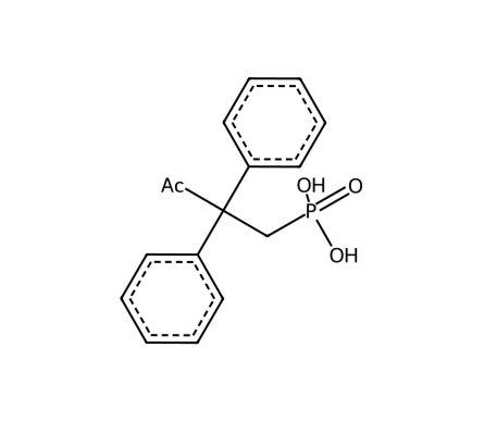 CC(=O)C(CP(=O)(O)O)(c1ccccc1)c1ccccc1